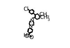 CC1(C)CCC(CN2CCN(c3ccc([SH](=O)=O)cc3)CC2)=C(c2ccc(Cl)cc2)C1